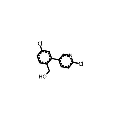 OCc1ccc(Cl)cc1-c1ccc(Cl)nc1